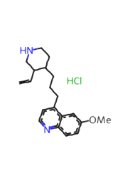 C=CC1CNCCC1CCCc1ccnc2ccc(OC)cc12.Cl